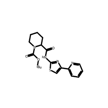 CC(C)(C)OC(=O)N1CCCCC1C(=O)Nc1nc(-c2ccccn2)cs1